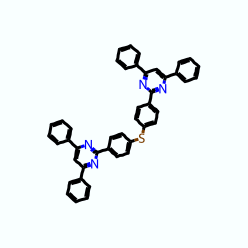 c1ccc(-c2cc(-c3ccccc3)nc(-c3ccc(Sc4ccc(-c5nc(-c6ccccc6)cc(-c6ccccc6)n5)cc4)cc3)n2)cc1